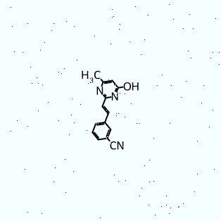 Cc1cc(O)nc(/C=C/c2cccc(C#N)c2)n1